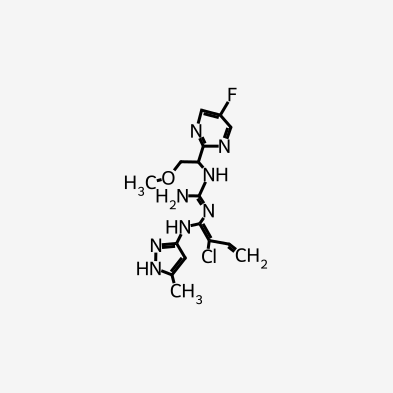 C=C/C(Cl)=C(\N=C(/N)NC(COC)c1ncc(F)cn1)Nc1cc(C)[nH]n1